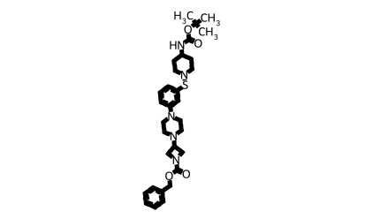 CC(C)(C)OC(=O)NC1CCN(Sc2cccc(N3CCN(C4CN(C(=O)OCc5ccccc5)C4)CC3)c2)CC1